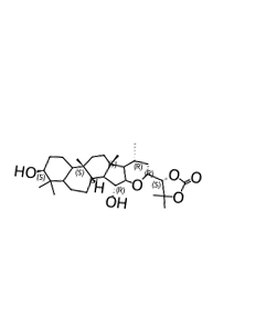 C[C@@H]1C[C@H]([C@@H]2OC(=O)OC2(C)C)OC2C1[C@@]1(C)CC[C@@]3(C)C4CC[C@H](O)C(C)(C)C4CC[C@H]3C1[C@H]2O